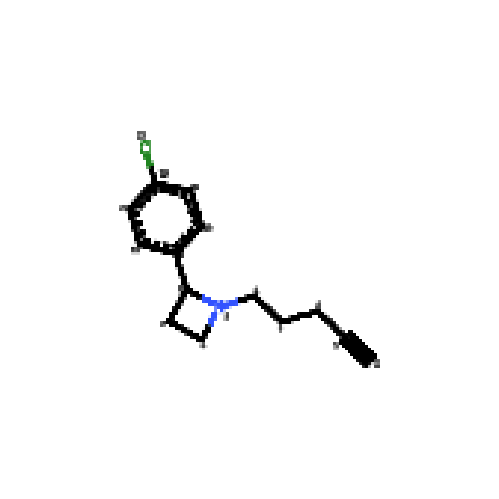 C#CCCCN1CCC1c1ccc(Cl)cc1